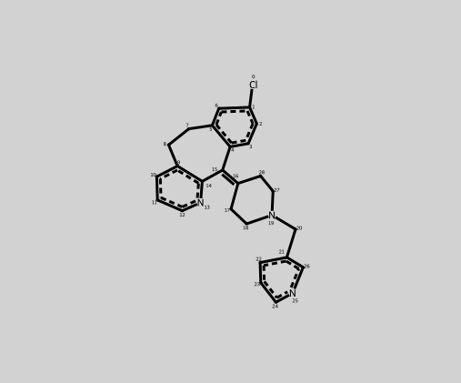 Clc1ccc2c(c1)CCc1cccnc1C2=C1CCN(Cc2cccnc2)CC1